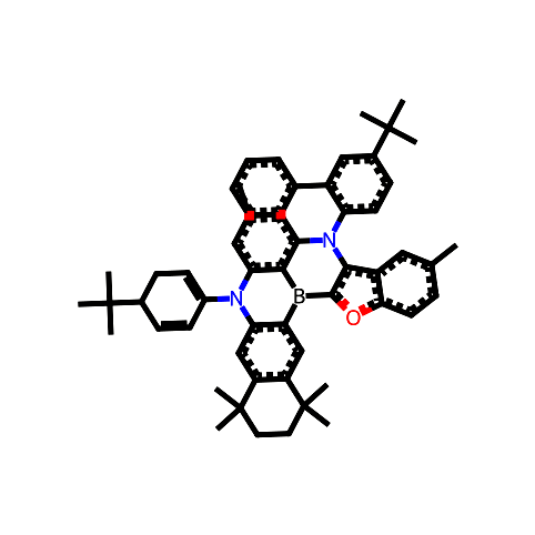 Cc1cc2c3c(c1)N(c1ccc(C(C)(C)C)cc1-c1ccccc1)c1c(oc4ccc(C)cc14)B3c1cc3c(cc1N2C1=CCC(C(C)(C)C)C=C1)C(C)(C)CCC3(C)C